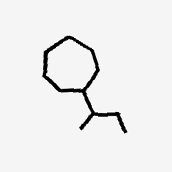 C[CH]C(C)C1CCCCCC1